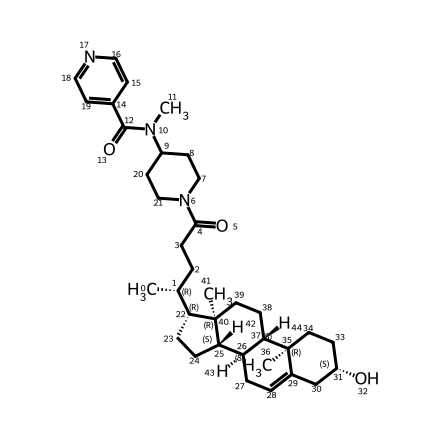 C[C@H](CCC(=O)N1CCC(N(C)C(=O)c2ccncc2)CC1)[C@H]1CC[C@H]2[C@@H]3CC=C4C[C@@H](O)CC[C@]4(C)[C@H]3CC[C@]12C